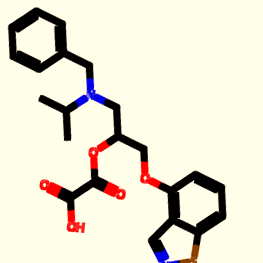 CC(C)N(Cc1ccccc1)CC(COc1cccc2sncc12)OC(=O)C(=O)O